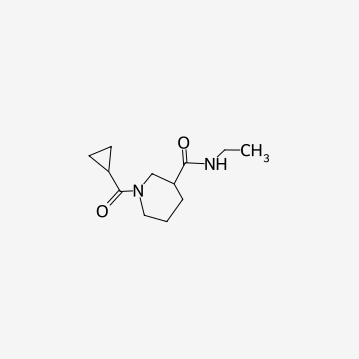 CCNC(=O)C1CCCN(C(=O)C2CC2)C1